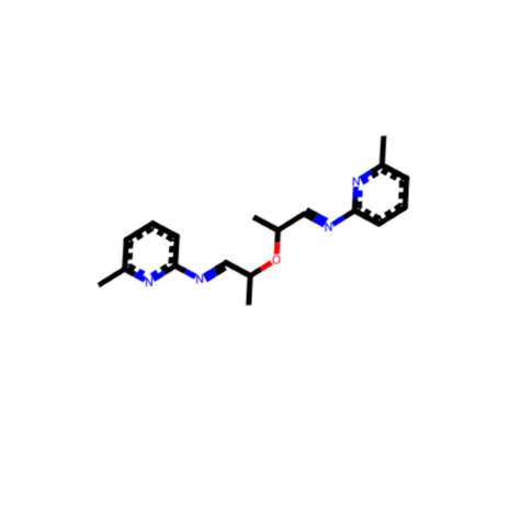 Cc1cccc(N=CC(C)OC(C)C=Nc2cccc(C)n2)n1